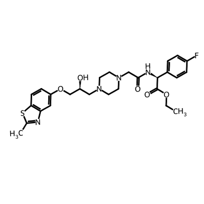 CCOC(=O)[C@@H](NC(=O)CN1CCN(C[C@H](O)COc2ccc3sc(C)nc3c2)CC1)c1ccc(F)cc1